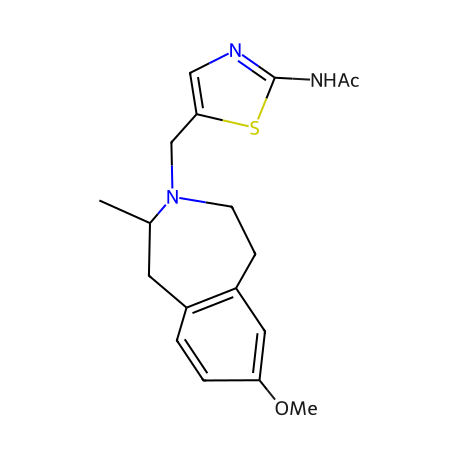 COc1ccc2c(c1)CCN(Cc1cnc(NC(C)=O)s1)C(C)C2